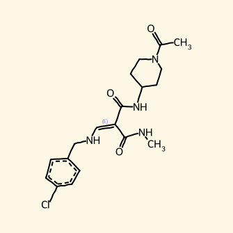 CNC(=O)/C(=C\NCc1ccc(Cl)cc1)C(=O)NC1CCN(C(C)=O)CC1